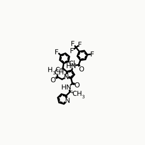 CC(=O)Cn1c(C(=O)N[C@H](C)c2ccccn2)cc(NC(=O)c2cc(F)cc(C(F)(F)F)c2)c1[C@H](C)c1cc(F)ccc1Cl